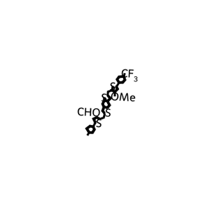 COc1cc(-c2ccc(C(F)(F)F)cc2)sc1Cc1cc2cc3sc(Cc4sc(-c5ccc(C)cc5)cc4C=O)cc3cc2s1